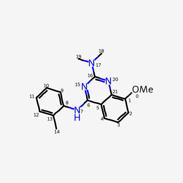 COc1cccc2c(Nc3ccccc3C)nc(N(C)C)nc12